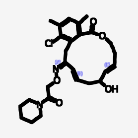 Cc1cc(C)c2c(c1Cl)CC(=N/OCC(=O)N1CCCCC1)/C=C/CC(O)/C=C/CCOC2=O